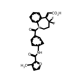 Cc1ccoc1C(=O)Nc1ccc(C(=O)N2CCC(F)(F)C(=CC(=O)O)c3ccccc32)cc1